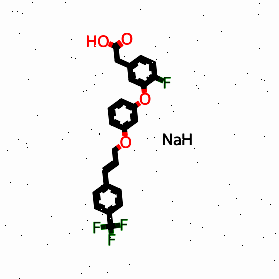 O=C(O)Cc1ccc(F)c(Oc2cccc(OCC=Cc3ccc(C(F)(F)F)cc3)c2)c1.[NaH]